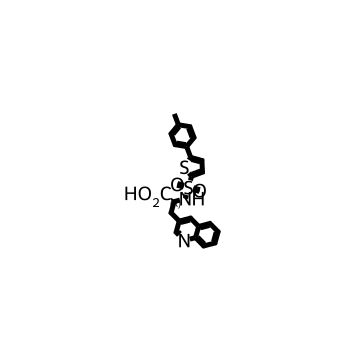 Cc1ccc(-c2ccc(S(=O)(=O)N[C@H](Cc3cnc4ccccc4c3)C(=O)O)s2)cc1